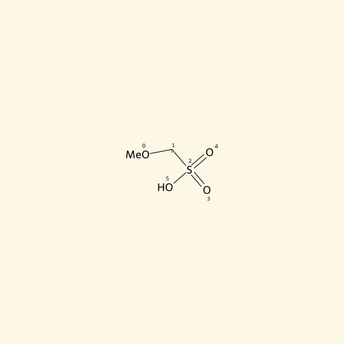 CO[CH]S(=O)(=O)O